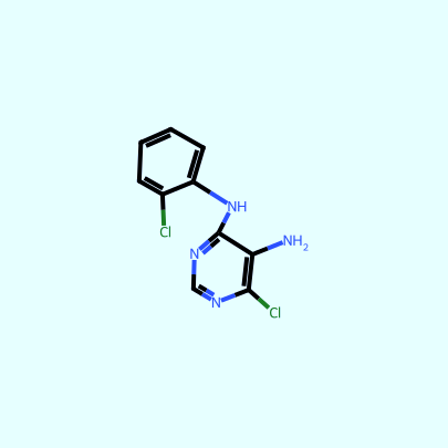 Nc1c(Cl)ncnc1Nc1ccccc1Cl